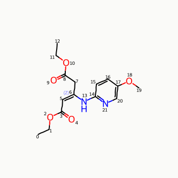 CCOC(=O)/C=C(/CC(=O)OCC)Nc1ccc(OC)cn1